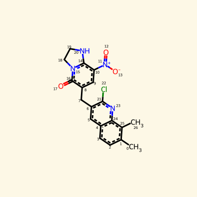 Cc1ccc2cc(Cc3cc([N+](=O)[O-])c4n(c3=O)CCN4)c(Cl)nc2c1C